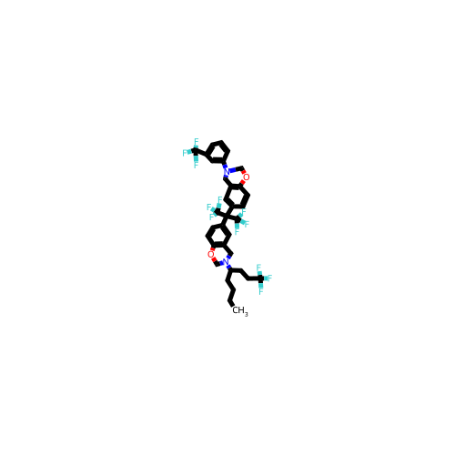 CCCCC(CCC(F)(F)F)N1COc2ccc(C(c3ccc4c(c3)CN(c3cccc(C(F)(F)F)c3)CO4)(C(F)(F)F)C(F)(F)F)cc2C1